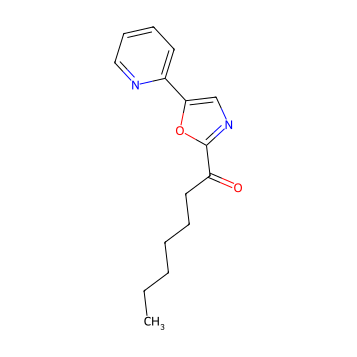 CCCCCCC(=O)c1ncc(-c2ccccn2)o1